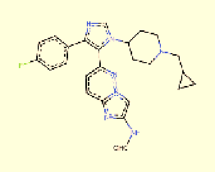 O=CNc1cn2nc(-c3c(-c4ccc(F)cc4)ncn3C3CCN(CC4CC4)CC3)ccc2n1